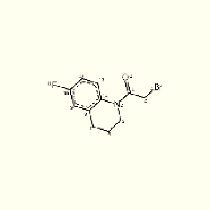 O=C(CBr)N1CCCc2cc(F)ccc21